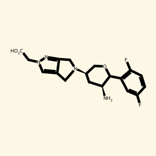 N[C@H]1C[C@@H](N2Cc3cn(CC(=O)O)nc3C2)COC1c1cc(F)ccc1F